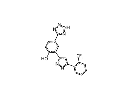 Oc1ccc(-c2nn[nH]n2)cc1-c1cc(-c2ccccc2C(F)(F)F)n[nH]1